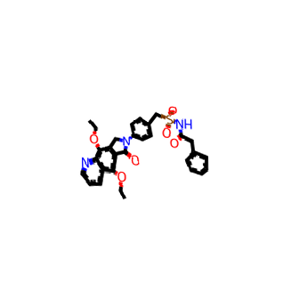 CCOc1c2c(c(OCC)c3ncccc13)CN(c1ccc(CS(=O)(=O)NC(=O)Cc3ccccc3)cc1)C2=O